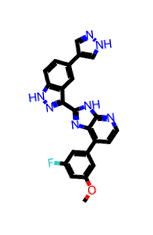 COc1cc(F)cc(-c2ccnc3[nH]c(-c4n[nH]c5ccc(-c6cn[nH]c6)cc45)nc23)c1